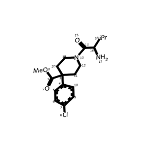 COC(=O)C1(c2ccc(Cl)cc2)CCN(C(=O)C(N)C(C)C)CC1